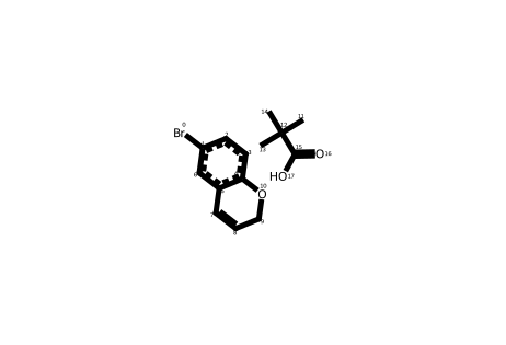 Brc1ccc2c(c1)C=CCO2.CC(C)(C)C(=O)O